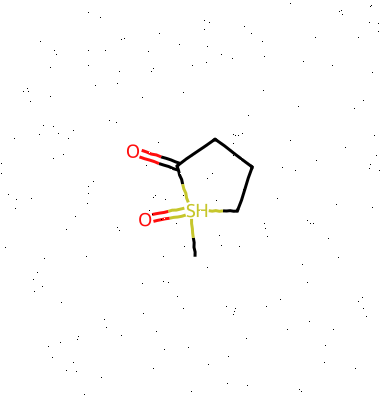 C[SH]1(=O)CCCC1=O